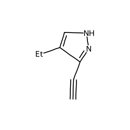 C#Cc1n[nH]cc1CC